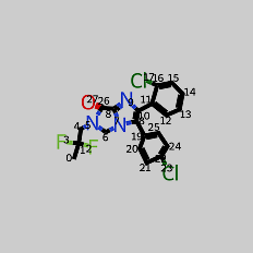 CC(F)(F)CN1Cn2c(nc(-c3ccccc3Cl)c2-c2ccc(Cl)cc2)C1=O